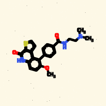 COc1ccc2[nH]c(=O)c3sccc3c2c1-c1ccc(C(=O)NCCN(C)C)cc1